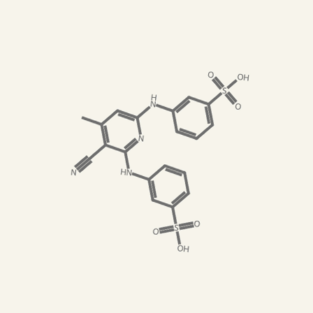 Cc1cc(Nc2cccc(S(=O)(=O)O)c2)nc(Nc2cccc(S(=O)(=O)O)c2)c1C#N